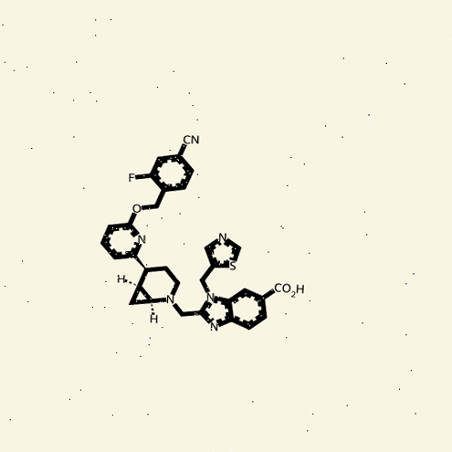 N#Cc1ccc(COc2cccc([C@H]3CCN(Cc4nc5ccc(C(=O)O)cc5n4Cc4cncs4)[C@H]4C[C@@H]34)n2)c(F)c1